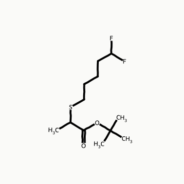 CC(SCCCCC(F)F)C(=O)OC(C)(C)C